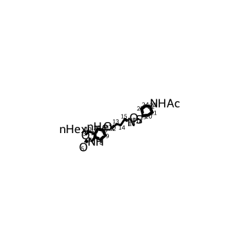 CCCCCCC1(CCCCCC)OC(=O)Nc2ccc(OCCCC=NOSc3ccc(NC(C)=O)cc3)cc21